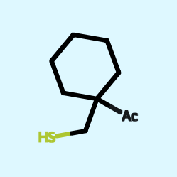 CC(=O)C1(CS)CCCCC1